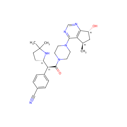 C[C@@H]1C[C@@H](O)c2ncnc(N3CCN(C(=O)[C@@H](c4ccc(C#N)cc4)[C@@H]4CCC(C)(C)N4)CC3)c21